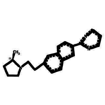 C[C@@H]1CCCN1CCc1ccc2cc(-c3ncccn3)ccc2c1